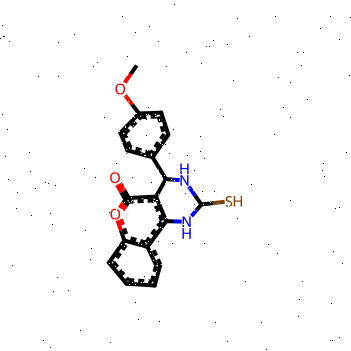 COc1ccc(C2NC(S)Nc3c2c(=O)oc2ccccc32)cc1